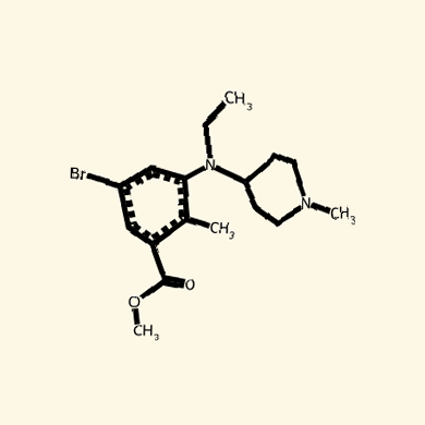 CCN(c1cc(Br)cc(C(=O)OC)c1C)C1CCN(C)CC1